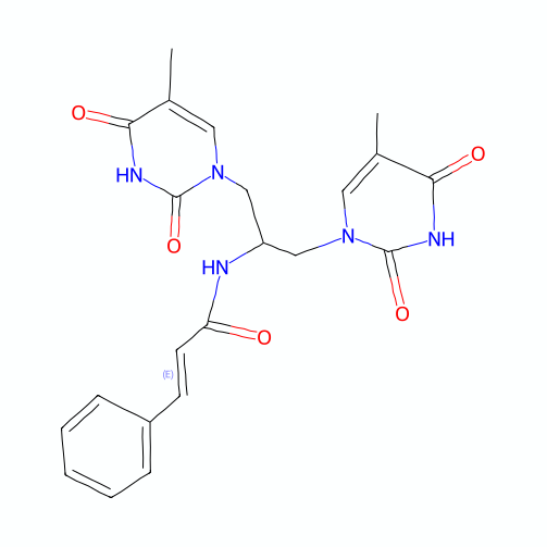 Cc1cn(CC(Cn2cc(C)c(=O)[nH]c2=O)NC(=O)/C=C/c2ccccc2)c(=O)[nH]c1=O